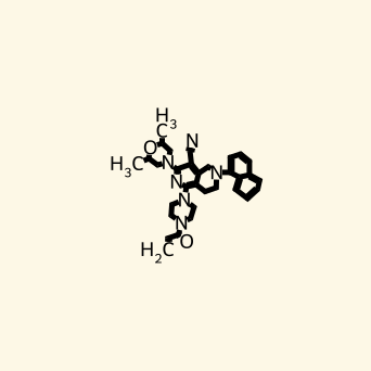 C=CC(=O)N1CCN(c2nc(N3CC(C)OC(C)C3)c(C#N)c3c2CCN(c2cccc4ccccc24)C3)CC1